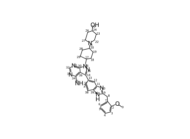 COc1ccccc1Cc1nc2cc(-c3nn(C4CCC(N5CCC(O)CC5)CC4)c4ncnc(N)c34)ccc2[nH]1